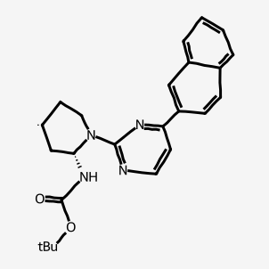 CC(C)(C)OC(=O)N[C@@H]1C[CH]CCN1c1nccc(-c2ccc3ccccc3c2)n1